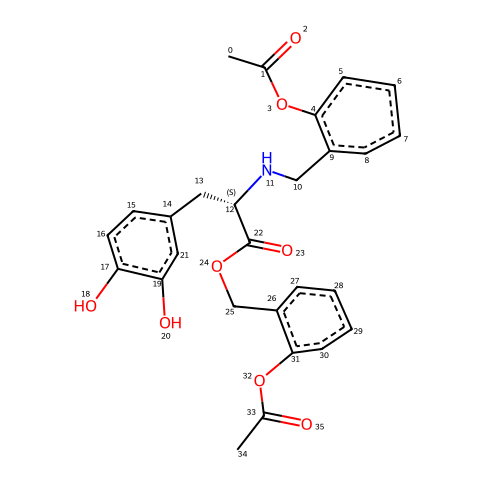 CC(=O)Oc1ccccc1CN[C@@H](Cc1ccc(O)c(O)c1)C(=O)OCc1ccccc1OC(C)=O